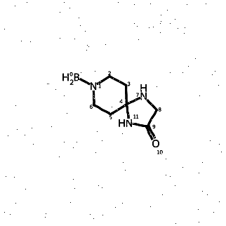 BN1CCC2(CC1)NCC(=O)N2